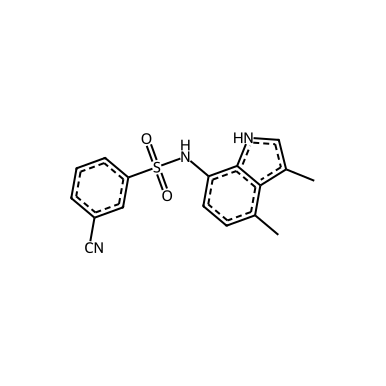 Cc1ccc(NS(=O)(=O)c2cccc(C#N)c2)c2[nH]cc(C)c12